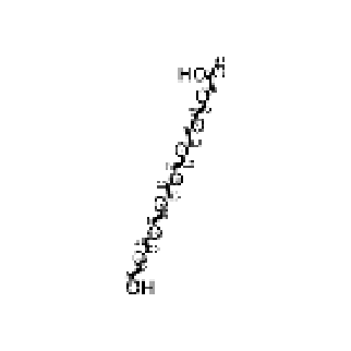 COC(O)COCCOCCOCCOCCOCCOCCOCCO